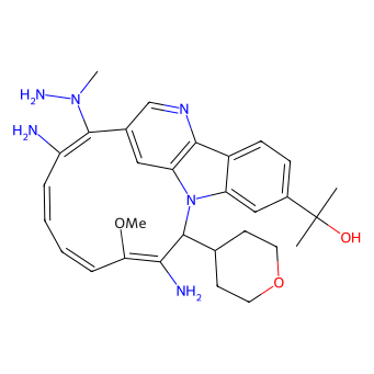 COC1=C(\N)C(C2CCOCC2)n2c3cc(C(C)(C)O)ccc3c3ncc(cc32)\C(N(C)N)=C(N)/C=C\C=C/1